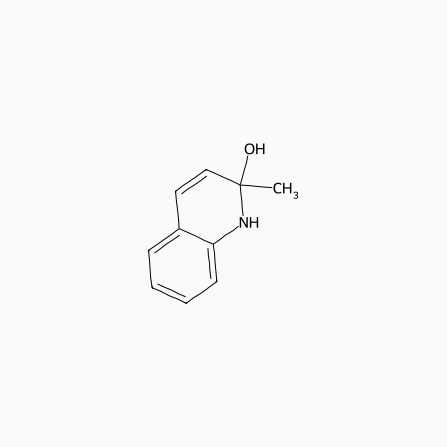 CC1(O)C=Cc2ccccc2N1